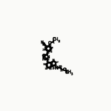 CCOc1ccc(-c2nc(-c3cccc4c3CC[C@@H]4NCCOC)no2)cc1C#N